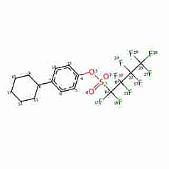 O=S(=O)(Oc1ccc(C2CCCCC2)cc1)C(F)(F)C(F)(F)C(F)(F)C(F)(F)F